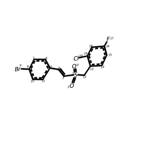 O=S(=O)(C=Cc1ccc(Br)cc1)Cc1ccc(F)cc1Cl